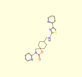 O=C1OC2(CCC(CNc3nc(-c4ccccn4)cs3)CC2)CN1c1ccccn1